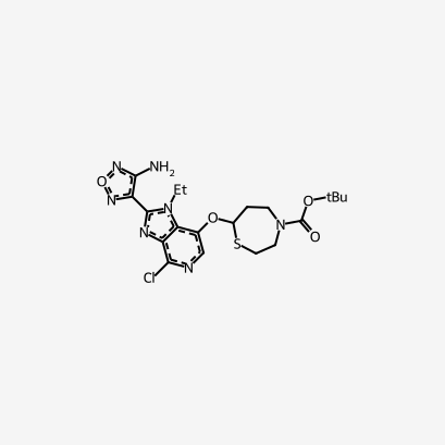 CCn1c(-c2nonc2N)nc2c(Cl)ncc(OC3CCN(C(=O)OC(C)(C)C)CCS3)c21